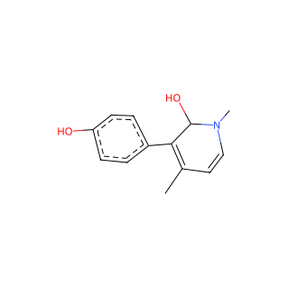 CC1=C(c2ccc(O)cc2)C(O)N(C)C=C1